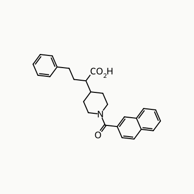 O=C(O)C(CCc1ccccc1)C1CCN(C(=O)c2ccc3ccccc3c2)CC1